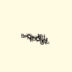 CCOC(=O)Nc1ccc(OCc2ccc(Br)cc2F)cc1N